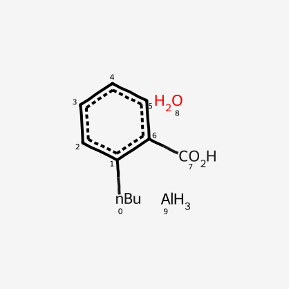 CCCCc1ccccc1C(=O)O.O.[AlH3]